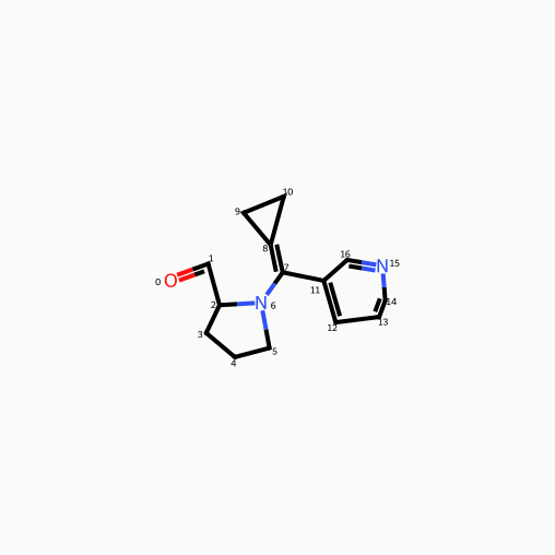 O=CC1CCCN1C(=C1CC1)c1cccnc1